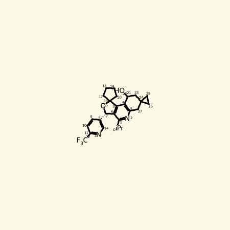 CC(C)c1nc2c(c3c1[C@H](c1ccc(C(F)(F)F)nc1)OC31CCCC1)C(O)CC1(CC1)C2